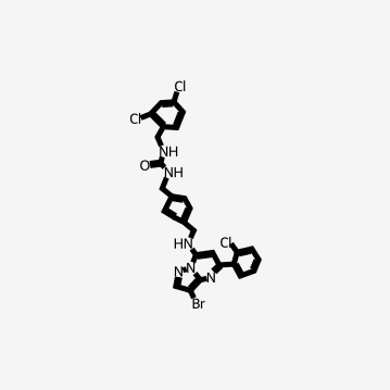 O=C(NCc1ccc(CNc2cc(-c3ccccc3Cl)nc3c(Br)cnn23)cc1)NCc1ccc(Cl)cc1Cl